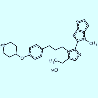 CCc1cnc(-c2cc3sccc3n2C)n1CCCc1ccc(OC2CCNCC2)cc1.Cl